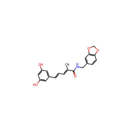 N#C/C(=C\C=C\c1cc(O)cc(O)c1)C(=O)NCc1ccc2c(c1)OCO2